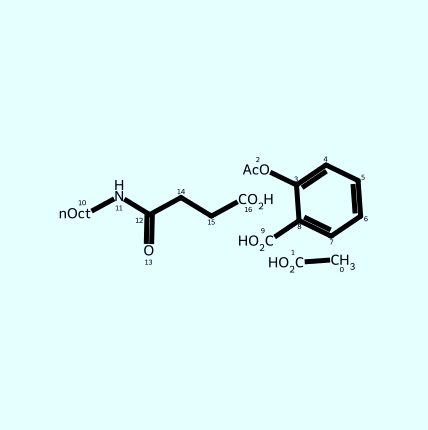 CC(=O)O.CC(=O)Oc1ccccc1C(=O)O.CCCCCCCCNC(=O)CCC(=O)O